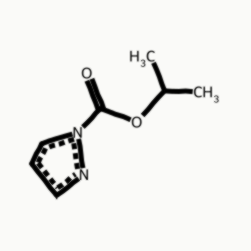 CC(C)OC(=O)n1cc[c]n1